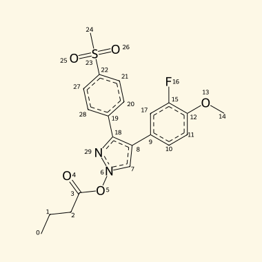 CCCC(=O)On1cc(-c2ccc(OC)c(F)c2)c(-c2ccc(S(C)(=O)=O)cc2)n1